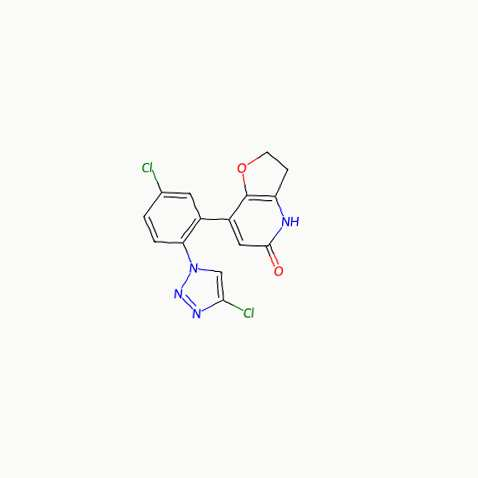 O=c1cc(-c2cc(Cl)ccc2-n2cc(Cl)nn2)c2c([nH]1)CCO2